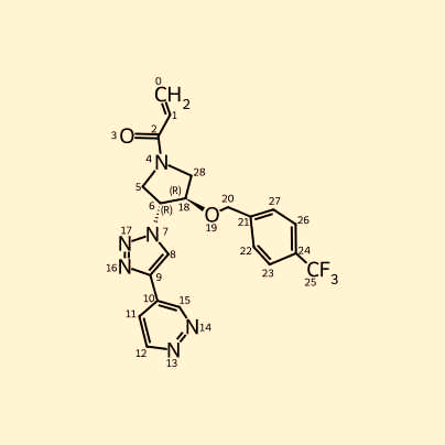 C=CC(=O)N1C[C@@H](n2cc(-c3ccnnc3)nn2)[C@H](OCc2ccc(C(F)(F)F)cc2)C1